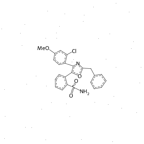 COc1ccc(-c2nc(Cc3ccccc3)oc2-c2ccccc2S(N)(=O)=O)c(Cl)c1